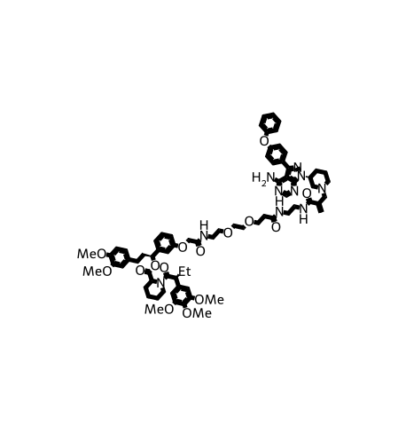 C=C(CN1CCC[C@@H](n2nc(-c3ccc(Oc4ccccc4)cc3)c3c(N)ncnc32)C1)C(=O)NCCNC(=O)CCOCCOCCNC(=O)COc1cccc([C@H](CCc2ccc(OC)c(OC)c2)OC(=O)C2CCCCN2C(=O)[C@@H](CC)c2cc(OC)c(OC)c(OC)c2)c1